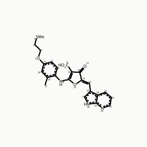 CSCCOc1ccc(NC2=C(C(=O)O)C(=O)C(=Cc3c[nH]c4ncccc34)O2)c(C)c1